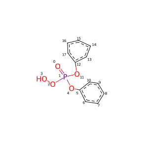 O=P(OO)(Oc1ccccc1)Oc1ccccc1